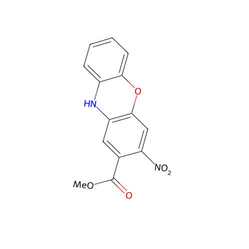 COC(=O)c1cc2c(cc1[N+](=O)[O-])Oc1ccccc1N2